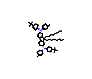 CCCCCCCCC1(CCCCCCCC)c2cc(N(c3ccc(C)cc3)c3ccc(C(C)(C)C)cc3)ccc2-c2ccc(N(c3ccc(C)cc3)c3ccc(C(C)(C)C)cc3)cc21